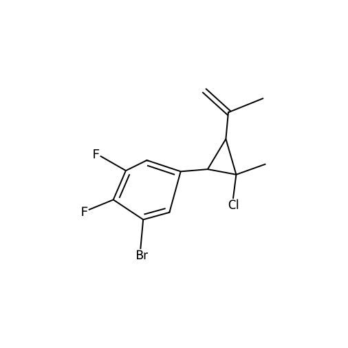 C=C(C)C1C(c2cc(F)c(F)c(Br)c2)C1(C)Cl